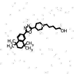 CC1(C)CCC(C)(C)c2cc(-c3nnc(C4CCN(CCCCCO)CC4)o3)ccc21